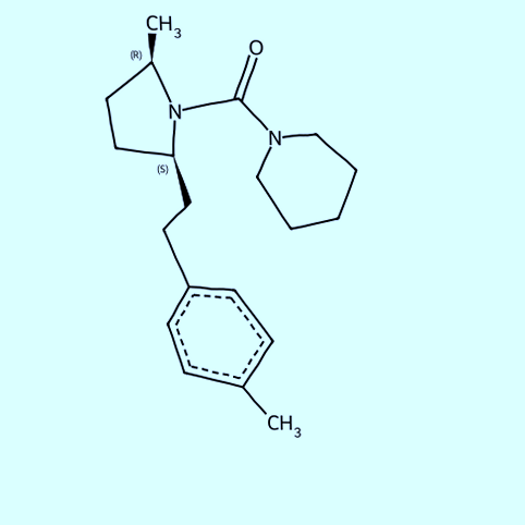 Cc1ccc(CC[C@H]2CC[C@@H](C)N2C(=O)N2CCCCC2)cc1